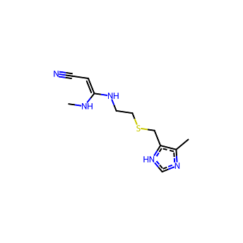 CNC(=CC#N)NCCSCc1[nH]cnc1C